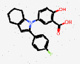 O=C(O)c1cc(-n2c(-c3ccc(F)cc3)cc3c2CCCC3)ccc1O